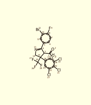 CC(=O)C1C(c2ccc(F)c(Br)c2)=NCC1(c1cc(Cl)c(Cl)c(Cl)c1)C(F)(F)F